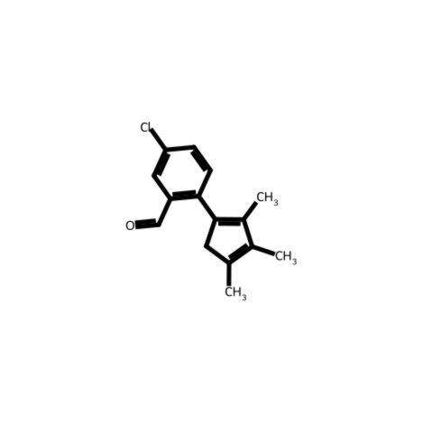 CC1=C(C)C(C)=C(c2ccc(Cl)cc2C=O)C1